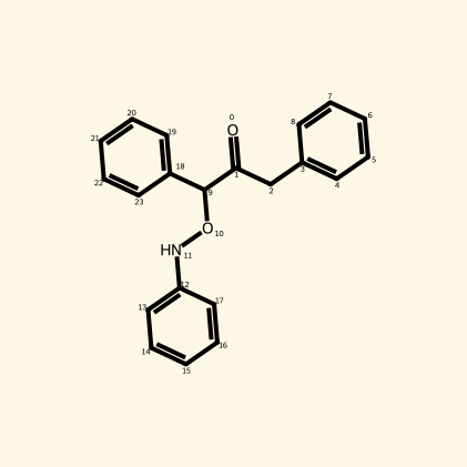 O=C(Cc1ccccc1)C(ONc1ccccc1)c1ccccc1